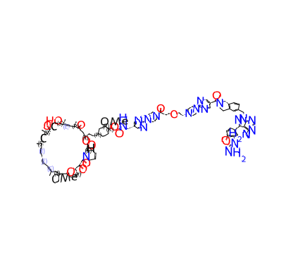 CO[C@H]1CC2CC[C@@H](C)C(O2)C(=O)C(=O)N2CCCC[C@H]2C(=O)O[C@H](CC[C@@H]2CC[C@@H](OC(=O)NCc3cnc(N4CCN(C(=O)CCOCCN5CCN(c6ncc(C(=O)N7CCc8cc(Cn9nc(-c%10ccc%11oc(N)nc%11c%10)c%10c(N)ncnc%109)ccc8C7)cn6)CC5)CC4)nc3)[C@H](OC)C2)CC(=O)[C@H](C)/C=C(\C)[C@@H](O)CC(=O)[C@H](C)C[C@H](C)/C=C/C=C/C=C/1C